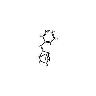 C(=C1/CN2CCC1C2)/c1cccnc1